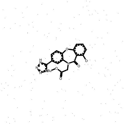 CC(C)(C)OC(=O)CN1C(=O)c2c([O])cccc2Oc2ccc(-c3nnn[nH]3)cc21